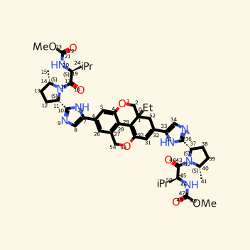 CCC12COc3cc(-c4cnc([C@@H]5CC[C@H](C)N5C(=O)[C@@H](NC(=O)OC)C(C)C)[nH]4)cc4c3C1=C(C=C(c1cnc([C@@H]3CC[C@H](C)N3C(=O)[C@@H](NC(=O)OC)C(C)C)[nH]1)C2)OC4